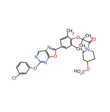 Cc1cc(-c2nc3cnc(Oc4cccc(Cl)c4)nc3o2)cc(C)c1OC(C)(C)C(=O)N1CCC(OC(=O)O)CC1